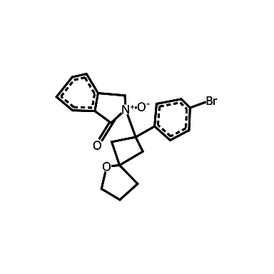 O=C1c2ccccc2C[N+]1([O-])C1(c2ccc(Br)cc2)CC2(CCCO2)C1